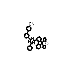 N#Cc1ccc(-c2cccc(-c3nc(-c4ccccc4)nc(-c4cccc5c4-c4ccccc4C54c5ccccc5Oc5ccccc54)n3)c2)cc1